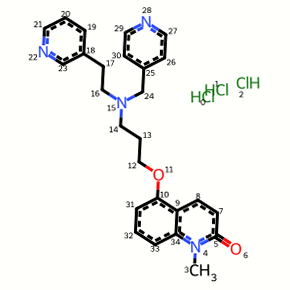 Cl.Cl.Cl.Cn1c(=O)ccc2c(OCCCN(CCc3cccnc3)Cc3ccncc3)cccc21